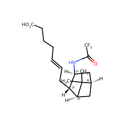 CC1(C)[C@H]2C[C@H](NC(=O)C(F)(F)F)[C@@H](CC=CCCCC(=O)O)[C@@H]1C2